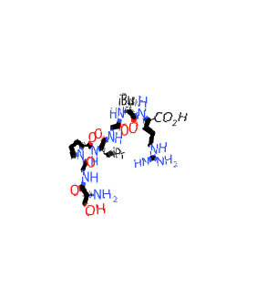 CC[C@H](C)[C@H](NC(=O)CNC(=O)[C@H](CC(C)C)NC(=O)[C@@H]1CCCN1C(=O)CNC(=O)[C@@H](N)CO)C(=O)N[C@@H](CCCNC(=N)N)C(=O)O